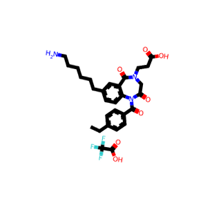 CCc1ccc(C(=O)N2C(=O)CN(CCC(=O)O)C(=O)c3cc(CCCCCCN)ccc32)cc1.O=C(O)C(F)(F)F